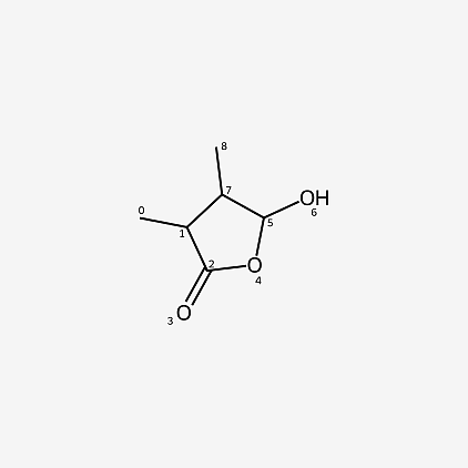 CC1C(=O)OC(O)C1C